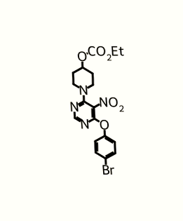 CCOC(=O)OC1CCN(c2ncnc(Oc3ccc(Br)cc3)c2[N+](=O)[O-])CC1